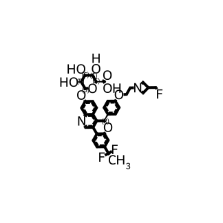 CC(F)(F)c1ccc2c(c1)O[C@H](c1ccc(OCCN3CC(CF)C3)cc1)c1c-2cnc2cc(O[C@@H]3O[C@H](C(=O)O)[C@@H](O)[C@H](O)[C@H]3O)ccc12